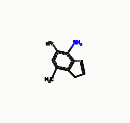 CCCc1cc(C)c2c(c1N)C=CC2